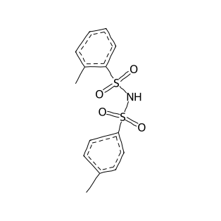 Cc1ccc(S(=O)(=O)NS(=O)(=O)c2ccccc2C)cc1